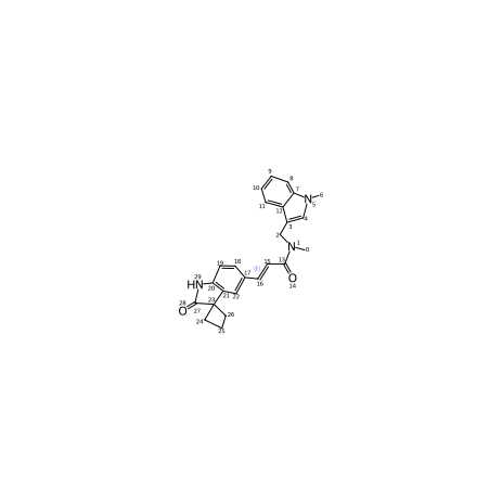 CN(Cc1cn(C)c2ccccc12)C(=O)/C=C/c1ccc2c(c1)C1(CCC1)C(=O)N2